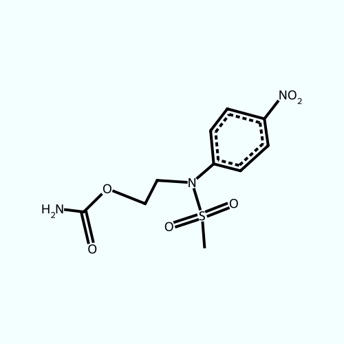 CS(=O)(=O)N(CCOC(N)=O)c1ccc([N+](=O)[O-])cc1